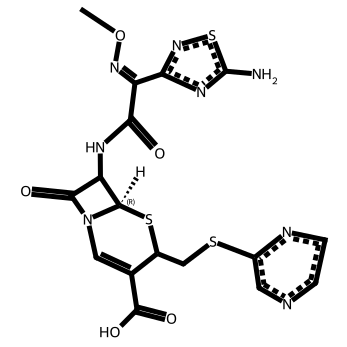 CON=C(C(=O)NC1C(=O)N2C=C(C(=O)O)C(CSc3cnccn3)S[C@H]12)c1nsc(N)n1